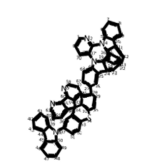 c1cnc(-n2c3ccccc3c3ccccc32)c(-n2c3ccccc3c3cc(-c4ccc5c(c4)C4(c6cc(-n7c8ccccc8c8ccccc87)ccc6S5)c5cccnc5-c5ncccc54)ccc32)c1